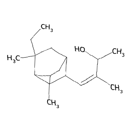 CCC1(C)CC2CC(C)C1CC2C=C(C)C(C)O